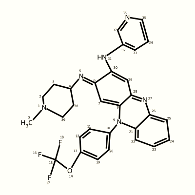 CN1CCC(/N=c2\cc3n(-c4ccc(OC(F)(F)F)cc4)c4ccccc4nc-3cc2Nc2cccnc2)CC1